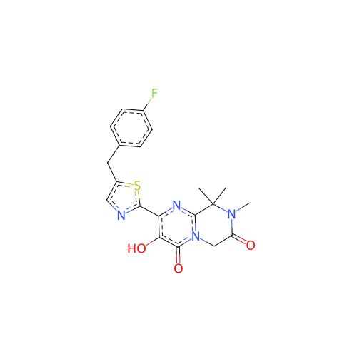 CN1C(=O)Cn2c(nc(-c3ncc(Cc4ccc(F)cc4)s3)c(O)c2=O)C1(C)C